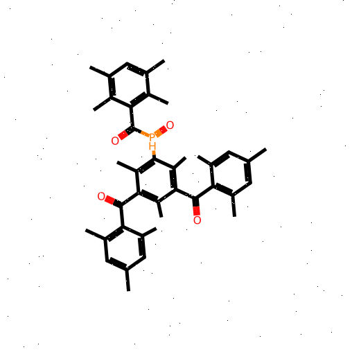 Cc1cc(C)c(C(=O)c2c(C)c(C(=O)c3c(C)cc(C)cc3C)c(C)c([PH](=O)C(=O)c3c(C)c(C)cc(C)c3C)c2C)c(C)c1